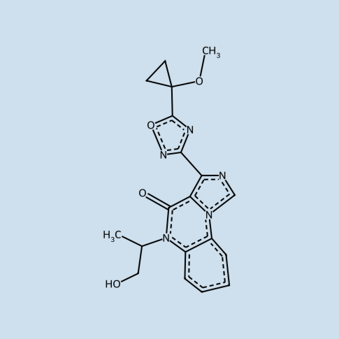 COC1(c2nc(-c3ncn4c3c(=O)n(C(C)CO)c3ccccc34)no2)CC1